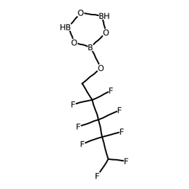 FC(F)C(F)(F)C(F)(F)C(F)(F)COB1OBOBO1